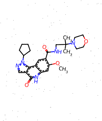 COc1cc2[nH]c(=O)c3cnn(C4CCCC4)c3c2cc1C(=O)NCC(C)(C)N1CCOCC1